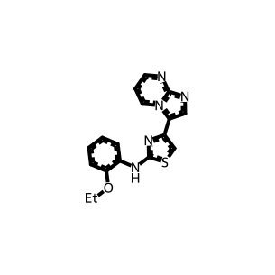 CCOc1ccccc1Nc1nc(-c2cnc3ncccn23)cs1